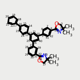 CC1(C)COC(c2ccc(-c3cc(-c4ccc(-c5ccccc5)cc4)cc(-c4cccc(C5=NC(C)(C)CO5)c4)c3)cc2)=N1